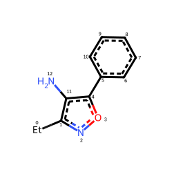 CCc1noc(-c2ccccc2)c1N